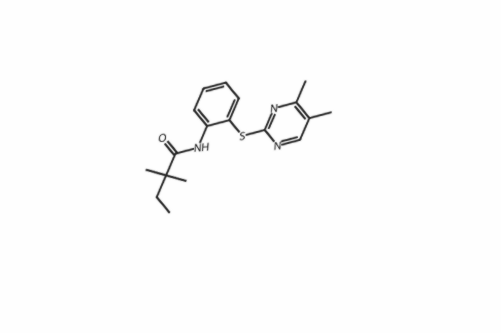 CCC(C)(C)C(=O)Nc1ccccc1Sc1ncc(C)c(C)n1